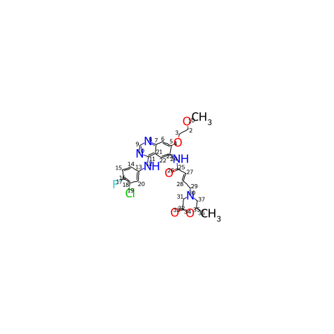 COCCOc1cc2ncnc(Nc3ccc(F)c(Cl)c3)c2cc1NC(=O)C=CCN1CC(=O)OC(C)C1